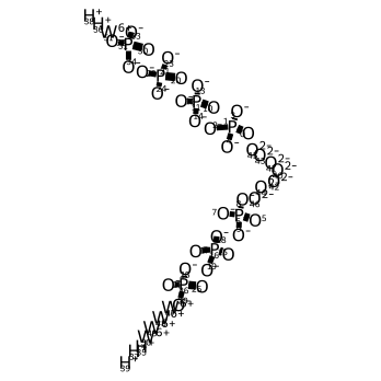 O=P([O-])([O-])[O-].O=P([O-])([O-])[O-].O=P([O-])([O-])[O-].O=P([O-])([O-])[O-].O=P([O-])([O-])[O-].O=P([O-])([O-])[O-].O=P([O-])([O-])[O-].[H+].[H+].[H+].[H+].[H+].[O-2].[O-2].[O-2].[O-2].[O-2].[O-2].[O-2].[W+6].[W+6].[W+6].[W+6].[W+6]